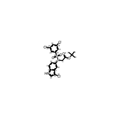 CC(C)(C)OC(=O)CN(c1ccc2[nH]cc(Cl)c2c1)S(=O)(=O)c1cc(Cl)cc(Cl)c1